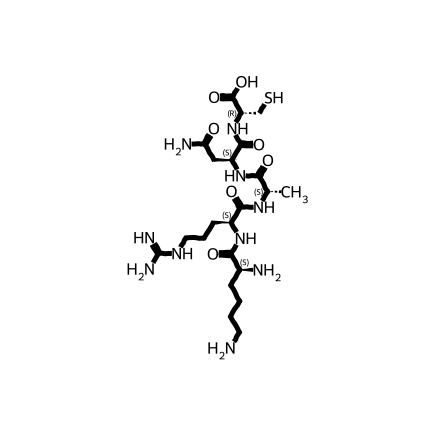 C[C@H](NC(=O)[C@H](CCCNC(=N)N)NC(=O)[C@@H](N)CCCCN)C(=O)N[C@@H](CC(N)=O)C(=O)N[C@@H](CS)C(=O)O